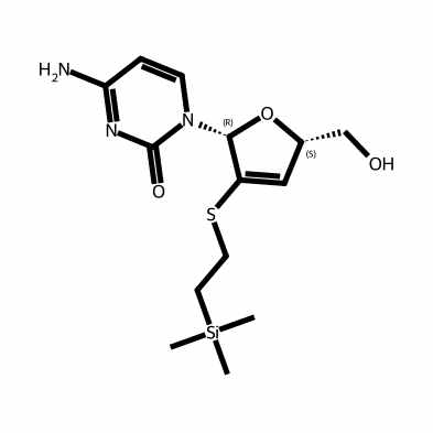 C[Si](C)(C)CCSC1=C[C@@H](CO)O[C@H]1n1ccc(N)nc1=O